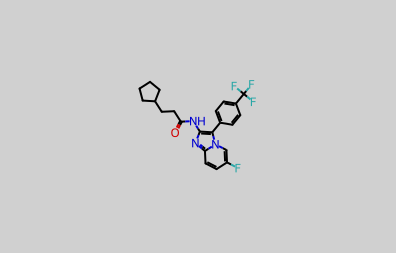 O=C(CCC1CCCC1)Nc1nc2ccc(F)cn2c1-c1ccc(C(F)(F)F)cc1